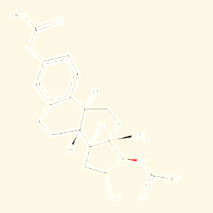 CCCC(=O)Oc1ccc2c(c1)CC[C@@H]1[C@@H]2CC[C@@]2(C)[C@H]1C[C@@H](O)[C@@H]2OC(=O)CCC